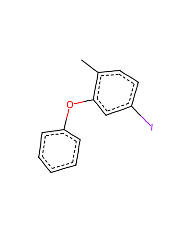 Cc1ccc(I)cc1Oc1ccccc1